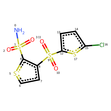 NS(=O)(=O)c1sccc1S(=O)(=O)c1ccc(Cl)s1